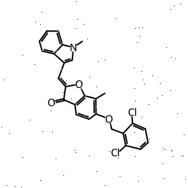 Cc1c(OCc2c(Cl)cccc2Cl)ccc2c1O/C(=C\c1cn(C)c3ccccc13)C2=O